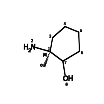 C[C@]1(N)CCCCC1O